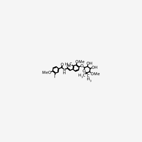 COc1ccc(C(=O)N/C(=C/c2ccc(OC3OC(C)(C)C(OC)C(O)C3O)c(OC)c2C)C(C)=O)cc1I